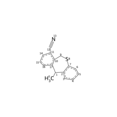 CC1c2ccccc2SCc2c(C#N)cccc21